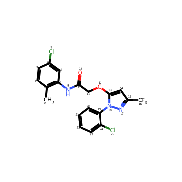 Cc1ccc(Cl)cc1NC(=O)COc1cc(C(F)(F)F)nn1-c1ccccc1Cl